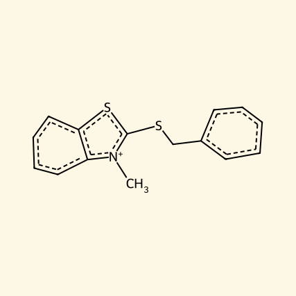 C[n+]1c(SCc2ccccc2)sc2ccccc21